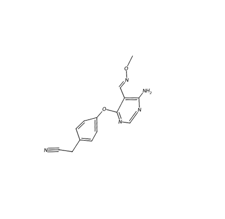 CON=Cc1c(N)ncnc1Oc1ccc(CC#N)cc1